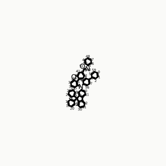 c1ccc(-c2ccc(N(c3ccc4c(c3)C(c3ccccc3)(c3ccccc3)c3ccccc3-4)c3cccc4oc5cc(-c6nc7ccccc7o6)ccc5c34)cc2)cc1